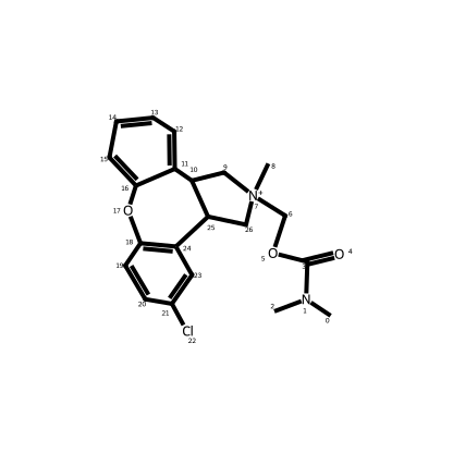 CN(C)C(=O)OC[N+]1(C)CC2c3ccccc3Oc3ccc(Cl)cc3C2C1